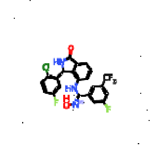 O=C1NC(c2cc(F)ccc2Cl)c2c(N/C(=N\O)c3cc(F)cc(C(F)(F)F)c3)cccc21